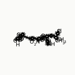 CC1(C)CCC(CN2CCN(c3ccc(C(=O)NS(=O)(=O)c4ccc(NCC5CCN(CCCCCc6cccc7c6C(=O)N(C6CCC(=O)NC6=O)C7=O)CC5)c([N+](=O)[O-])c4)c(Oc4cnc5[nH]ccc5c4)c3)CC2)=C(c2ccc(Cl)cc2)C1